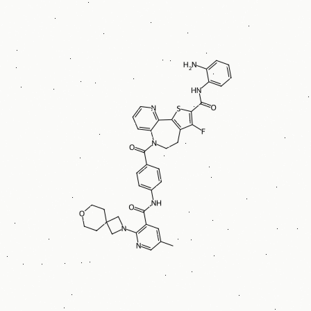 Cc1cnc(N2CC3(CCOCC3)C2)c(C(=O)Nc2ccc(C(=O)N3CCc4c(sc(C(=O)Nc5ccccc5N)c4F)-c4ncccc43)cc2)c1